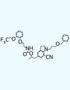 CC(Cc1cc(C#N)c2c(c1)CCN2CCCOCc1ccccc1)OC(=O)NCCOc1ccccc1OCC(F)(F)F